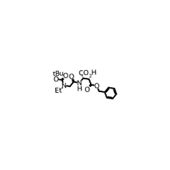 CCN(CC(=O)N[C@@H](CC(=O)OCc1ccccc1)C(=O)O)C(=O)OC(C)(C)C